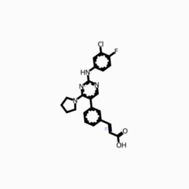 O=C(O)/C=C/c1cccc(-c2cnc(Nc3ccc(F)c(Cl)c3)nc2N2CCCC2)c1